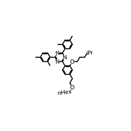 CCCCCCOCCc1ccc(-c2nc(-c3ccc(C)cc3C)nc(-c3ccc(C)cc3C)n2)c(OCCCC(C)C)c1